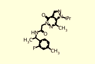 Cc1ccc(C(C)NC(=O)Cn2nc(C)c3c(cnn3C(C)C)c2=O)c(F)c1